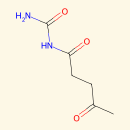 CC(=O)CCC(=O)NC(N)=O